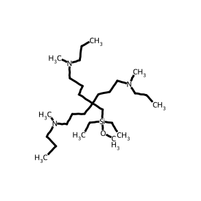 CCCN(C)CCCC(CCCN(C)CCC)(CCCN(C)CCC)C[Si](CC)(CC)OC